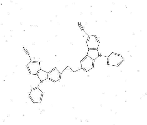 N#Cc1ccc2c(c1)c1cc(CCc3ccc4c(c3)c3cc(C#N)ccc3n4-c3ccccc3)ccc1n2-c1ccccc1